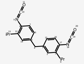 CC(C)c1cc(Cc2ccc(N=C=O)c(C(C)C)c2)ccc1N=C=O